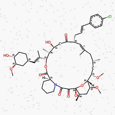 CO[C@H]1C[C@@H](C)C/C(C)=C/[C@@H](C/C=C/c2ccc(Cl)cc2)C(=O)C[C@H](O)[C@@H](C)[C@@H](/C(C)=C/[C@@H]2CC[C@@H](O)[C@H](OC)C2)OC(=O)[C@@H]2CCCCN2C(=O)C(=O)[C@]2(O)O[C@H]1[C@@H](OC)C[C@H]2C